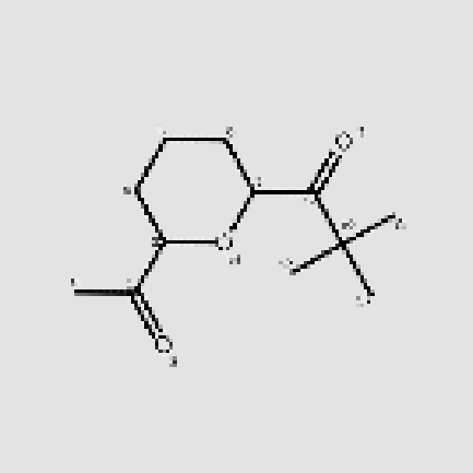 CC(=O)C1CCCC(C(=O)C(C)(C)C)O1